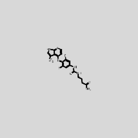 NC(=O)CCCNC(=O)Nc1cc(F)c(Oc2ccnc3[nH]cc(C(F)(F)F)c23)c(F)c1